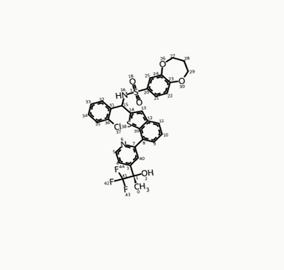 C[C@](O)(c1ccnc(-c2cccc3cc(C(NS(=O)(=O)c4ccc5c(c4)OCCCO5)c4ccccc4Cl)sc23)c1)C(F)(F)F